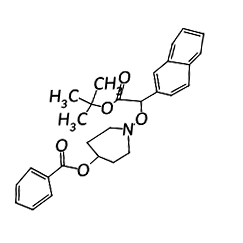 CC(C)(C)OC(=O)C(ON1CCC(OC(=O)c2ccccc2)CC1)c1ccc2ccccc2c1